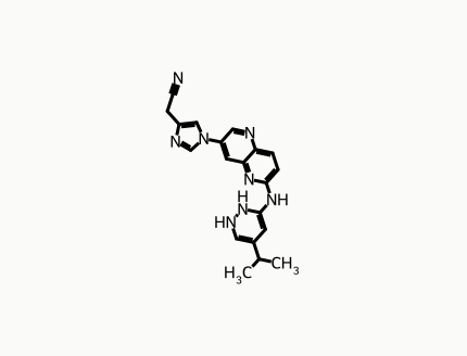 CC(C)C1=CNNC(Nc2ccc3ncc(-n4cnc(CC#N)c4)cc3n2)=C1